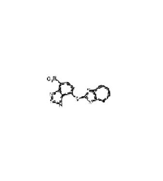 O=[N+]([O-])c1ccc(Sc2nc3ccccc3s2)c2nsnc12